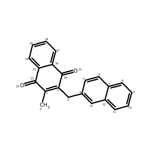 CC1=C(Cc2ccc3ccccc3c2)C(=O)c2ccccc2C1=O